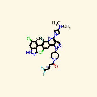 Cc1c(Cl)cc2[nH]ncc2c1-c1c(Cl)cc2c(nc(N3CC(N(C)C)C3)c3cnn(C4CCN(C(=O)/C=C/C(F)F)CC4)c32)c1F